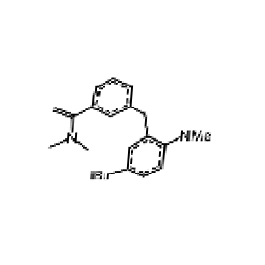 C=C(c1cccc(Cc2cc(C(C)CC)ccc2NC)c1)N(C)C